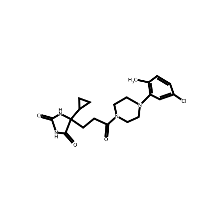 Cc1ccc(Cl)cc1N1CCN(C(=O)CCC2(C3CC3)NC(=O)NC2=O)CC1